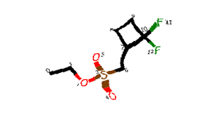 CCOS(=O)(=O)CC1CCC1(F)F